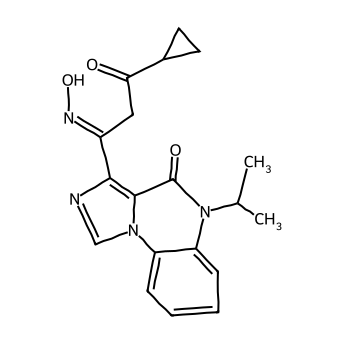 CC(C)n1c(=O)c2c(/C(CC(=O)C3CC3)=N/O)ncn2c2ccccc21